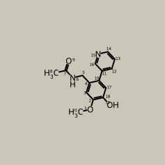 COc1cc(CNC(C)=O)c(-c2cccnc2)cc1O